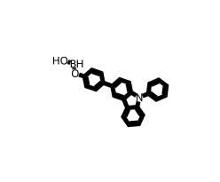 OBOc1ccc(-c2ccc3c(c2)c2ccccc2n3-c2ccccc2)cc1